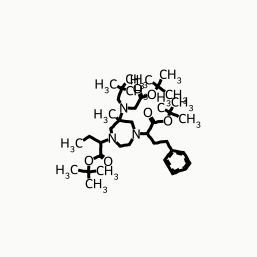 CCC(C(=O)OC(C)(C)C)N1CCN(C(CCc2ccccc2)C(=O)OC(C)(C)C)CC(C)(N(CC(=O)OC(C)(C)C)CC(C)(C)C)C1